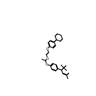 CC(C)=CC(c1ccc(OC(C)OCCOc2ccc(C3CCCCC3)cc2)cc1)C(C)(C)C